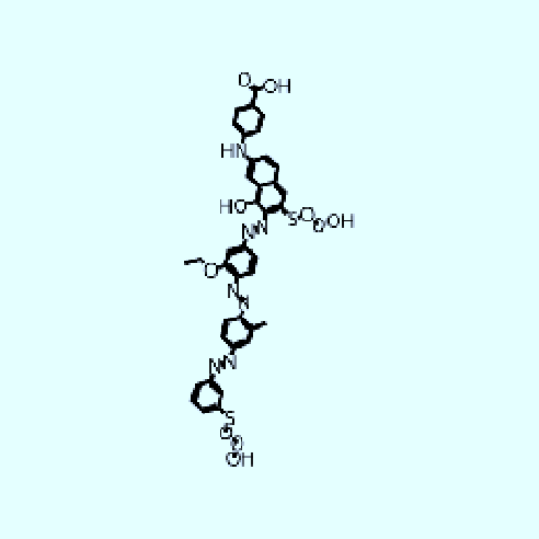 CCOc1cc(N=Nc2c(SOOO)cc3ccc(Nc4ccc(C(=O)O)cc4)cc3c2O)ccc1N=Nc1ccc(N=Nc2cccc(SOOO)c2)cc1C